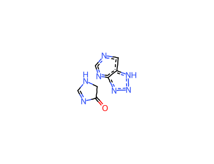 O=C1CNC=N1.c1ncc2[nH]nnc2n1